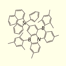 Cc1cc(C)c(B2c3cc(C)ccc3N3c4ccc(C)cc4B(c4c(C)cc(C)cc4C)c4cc([Si](c5ccccc5)(c5ccccc5)c5cccc6ccccc56)cc2c43)c(C)c1